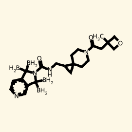 BC1(B)c2ccncc2C(B)(B)N1C(=O)NCC1CC12CCN(C(=O)CC1(C)COC1)CC2